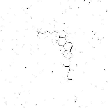 COC(=O)CCC(=O)O[C@H]1CC[C@@]2(C)C(=CC[C@H]3[C@@H]4CC[C@H]([C@H](C)CCCC(C)(C)O)[C@@]4(C)CC[C@@H]32)C1